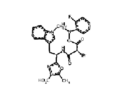 Cc1oc([C@@H](Cc2cn(C)c3ccccc23)NC(=O)[C@@H](C(=O)ON(C)c2ccccc2F)C(C)C)nc1C(=O)O